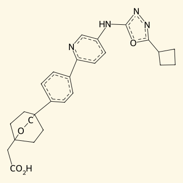 O=C(O)CC12CCC(c3ccc(-c4ccc(Nc5nnc(C6CCC6)o5)cn4)cc3)(CC1)CO2